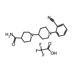 N#Cc1ccccc1N1CCC(N2CCC(C(N)=O)CC2)CC1.O=C(O)C(F)(F)F